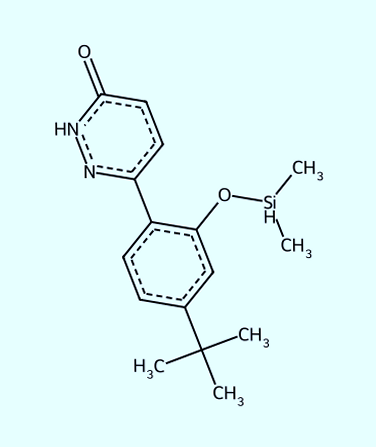 C[SiH](C)Oc1cc(C(C)(C)C)ccc1-c1ccc(=O)[nH]n1